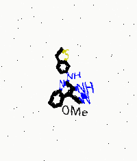 COc1cccc2nc(Nc3ccc4c(c3)SCC4)c3[nH]ncc3c12